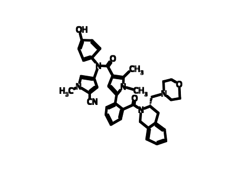 Cc1c(C(=O)N(c2ccc(O)cc2)c2cc(C#N)n(C)c2)cc(-c2ccccc2C(=O)N2Cc3ccccc3C[C@H]2CN2CCOCC2)n1C